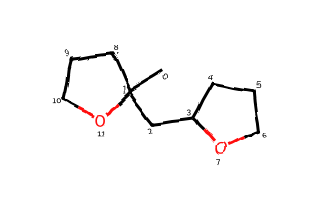 CC1(CC2CCCO2)[CH]CCO1